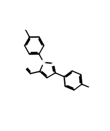 O=Cc1cc(-c2ccc(F)cc2)nn1-c1ccc(I)cc1